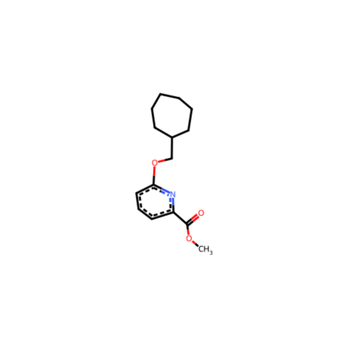 COC(=O)c1cccc(OCC2CCCCCC2)n1